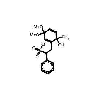 COC1(OC)C=CC(C)(C)C(CC(c2ccccc2)S(=O)(=O)Cl)=C1